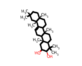 CC1(C)CC[C@]2(C)CCC3C(=CCC4[C@@]3(C)CCC3C(C)(C)[C@@H](O)C(O)C[C@@]34C)[C@]2(C)C1